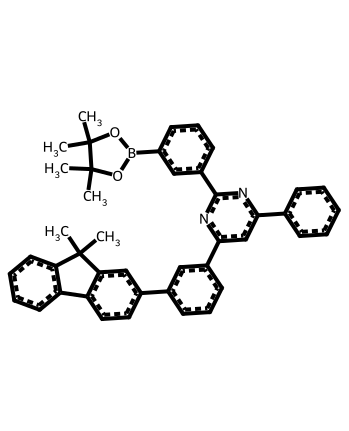 CC1(C)c2ccccc2-c2ccc(-c3cccc(-c4cc(-c5ccccc5)nc(-c5cccc(B6OC(C)(C)C(C)(C)O6)c5)n4)c3)cc21